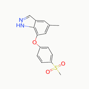 Cc1cc(Oc2ccc(S(C)(=O)=O)cc2)c2[nH]ncc2c1